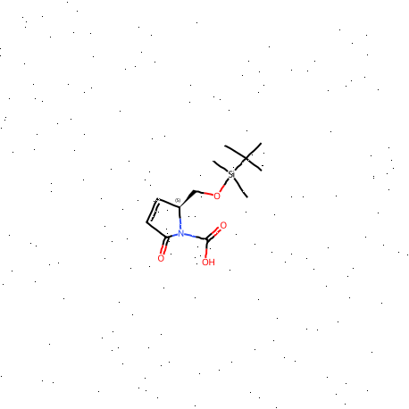 CC(C)(C)[Si](C)(C)OC[C@@H]1C=CC(=O)N1C(=O)O